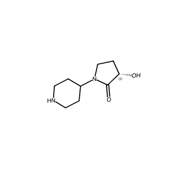 O=C1[C@@H](O)CCN1C1CCNCC1